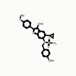 CCCCOc1ccc(-c2oc3cc(N(Cc4ccc(OC)cc4)S(C)(=O)=O)c(C4CC4)cc3c2C=O)cc1